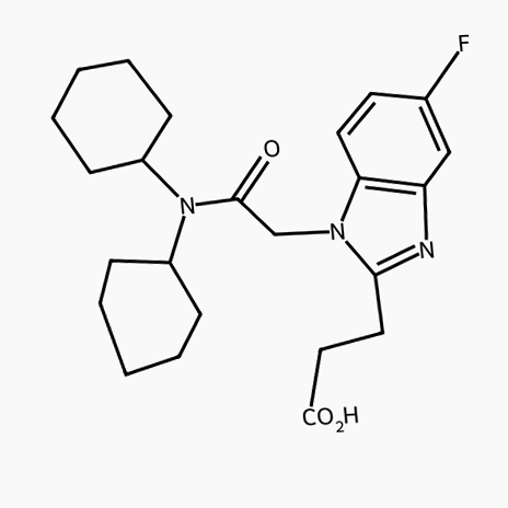 O=C(O)CCc1nc2cc(F)ccc2n1CC(=O)N(C1CCCCC1)C1CCCCC1